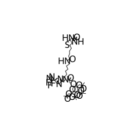 CC(=O)OC[C@H]1O[C@H](OCC(=O)N(CCCCCCNC(=O)CCCCC2SCC3NC(=O)NC32)Cc2ncc(C3(C(F)(F)F)N=N3)cn2)[C@@H](OC(C)=O)[C@@H](OC(C)=O)[C@H]1OC(C)=O